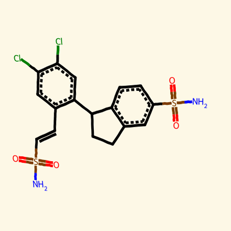 NS(=O)(=O)/C=C/c1cc(Cl)c(Cl)cc1C1CCc2cc(S(N)(=O)=O)ccc21